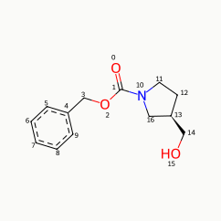 O=C(OCc1ccccc1)N1CC[C@@H](CO)C1